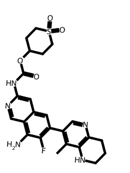 Cc1c(-c2cc3cc(NC(=O)OC4CCS(=O)(=O)CC4)ncc3c(N)c2F)cnc2c1NCCC2